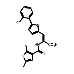 Cc1cc(C(=O)NC(=Cc2ccc(-c3ccccc3Cl)s2)C(=O)O)c(C)o1